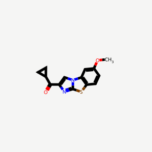 COc1ccc2sc3nc(C(=O)C4CC4)cn3c2c1